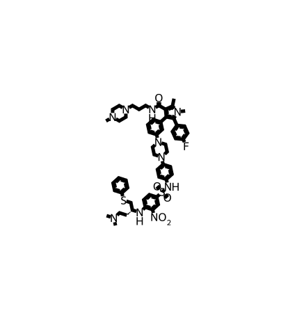 Cc1c(C(=O)NCCCN2CCN(C)CC2)c(-c2cccc(N3CCN(c4ccc(NS(=O)(=O)c5ccc(N[C@H](CCN(C)C)CSc6ccccc6)c([N+](=O)[O-])c5)cc4)CC3)c2)c(-c2ccc(F)cc2)n1C